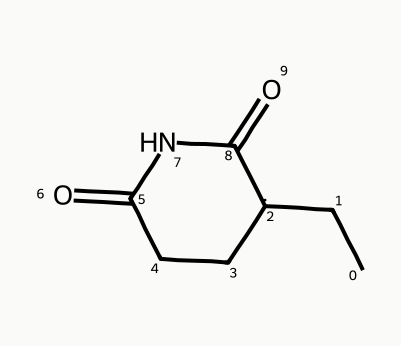 CC[C]1CCC(=O)NC1=O